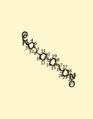 O=C=Nc1ccc(C=Cc2ccc(-c3ccc(C=Cc4ccc(N=C=O)cc4)cc3)cc2)cc1